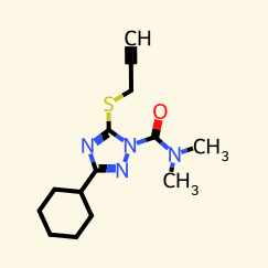 C#CCSc1nc(C2CCCCC2)nn1C(=O)N(C)C